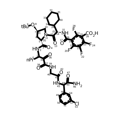 CCCC(NC(=O)[C@@H]1C[C@@H](OC(C)(C)C)CN1C(=O)[C@@H](NC(=O)c1c(F)c(F)c(F)c(C(=O)O)c1F)C1CCCCC1)C(=O)C(=O)NCC(=O)NC(C(N)=O)c1cccc(Cl)c1